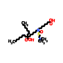 CCCCCC/C=C\CC(C/C=C\CCCCCC)(CCCCCCN(CCCCCCCC(=O)O)C(=O)SCCN(C)C)C(=O)O